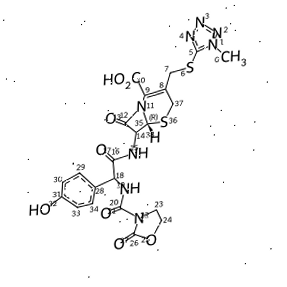 Cn1nnnc1SCC1=C(C(=O)O)N2C(=O)C(NC(=O)C(NC(=O)N3CCOC3=O)c3ccc(O)cc3)[C@H]2SC1